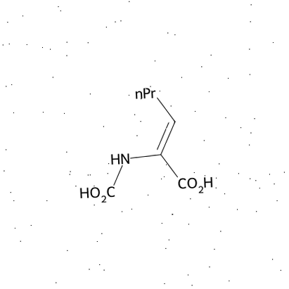 CCCC=C(NC(=O)O)C(=O)O